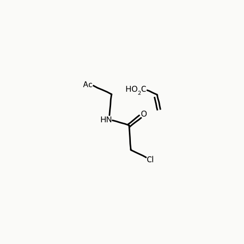 C=CC(=O)O.CC(=O)CNC(=O)CCl